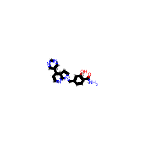 NC(=O)c1ccc(Cn2ccc3c(-c4cncnc4)ccnc32)cc1O